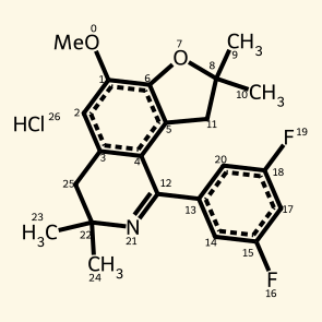 COc1cc2c(c3c1OC(C)(C)C3)C(c1cc(F)cc(F)c1)=NC(C)(C)C2.Cl